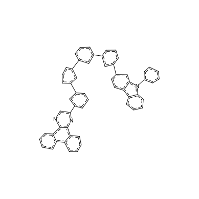 c1ccc(-n2c3ccccc3c3ccc(-c4cccc(-c5cccc(-c6cccc(-c7cccc(-c8cnc9c%10ccccc%10c%10ccccc%10c9n8)c7)c6)c5)c4)cc32)cc1